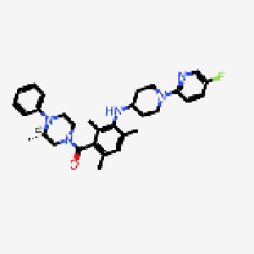 Cc1cc(C)c(C(=O)N2CCN(c3ccccc3)[C@@H](C)C2)c(C)c1NC1CCN(c2ccc(F)cn2)CC1